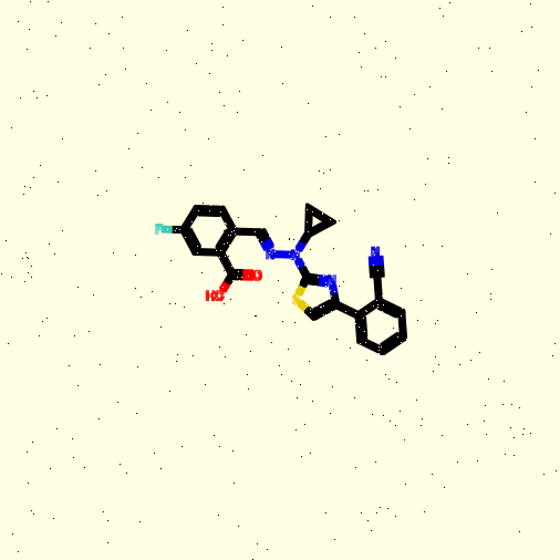 N#Cc1ccccc1-c1csc(N(N=Cc2ccc(F)cc2C(=O)O)C2CC2)n1